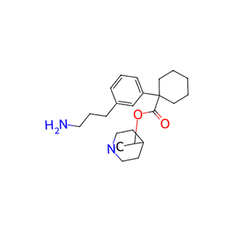 NCCCc1cccc(C2(C(=O)OC3CN4CCC3CC4)CCCCC2)c1